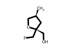 C[C@@H]1CO[C@@](CO)(CF)C1